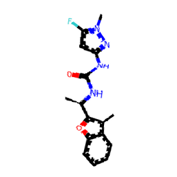 Cc1c([C@@H](C)NC(=O)Nc2cc(F)n(C)n2)oc2ccccc12